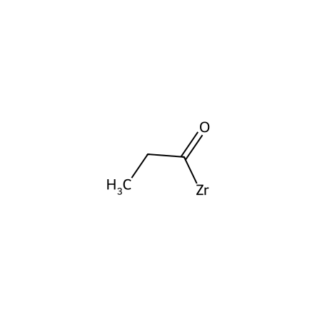 CC[C](=O)[Zr]